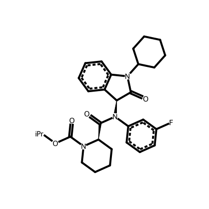 CC(C)OC(=O)N1CCCC[C@@H]1C(=O)N(c1cccc(F)c1)[C@@H]1C(=O)N(C2CCCCC2)c2ccccc21